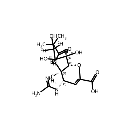 [2H]C([2H])(O)[C@@]([2H])(O)[C@@](C)(O)[C@@H]1OC(C(=O)O)=C[C@H](NC(=N)N)[C@@]1(C)NC(=O)C(C)C